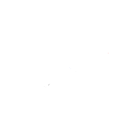 C[C@](O)(c1ccc(C(=O)N(C2CC2)[C@H]2CC[C@@](C#N)(c3ccccc3)CC2)cc1)C(F)(F)F